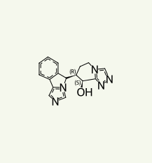 O[C@@H]1c2nncn2CC[C@@H]1C1c2ccccc2-c2cncn21